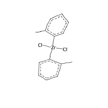 Cc1cccc[c]1[Zr]([Cl])([Cl])[c]1ccccc1C